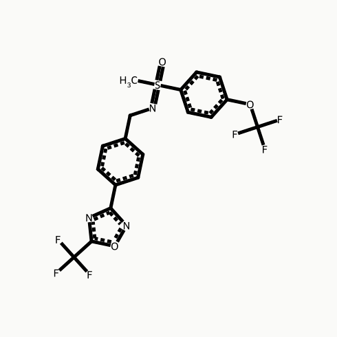 CS(=O)(=NCc1ccc(-c2noc(C(F)(F)F)n2)cc1)c1ccc(OC(F)(F)F)cc1